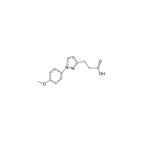 COc1ccc(-n2ccc(CCC(=O)O)n2)cc1